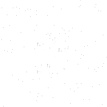 CN(C(=O)O)c1ccc(C2(C(=O)N3CCC4(C3)OC(=O)c3cnccc34)CC2)cc1